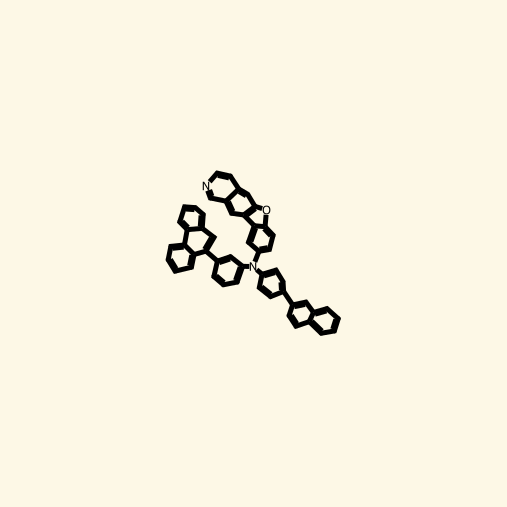 c1cc(-c2cc3ccccc3c3ccccc23)cc(N(c2ccc(-c3ccc4ccccc4c3)cc2)c2ccc3oc4cc5ccncc5cc4c3c2)c1